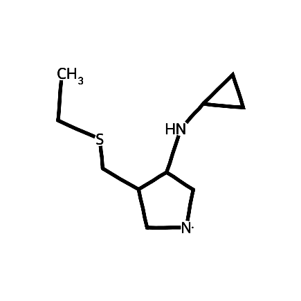 CCSCC1C[N]CC1NC1CC1